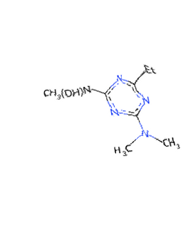 CCc1nc(N(C)C)nc(N(C)O)n1